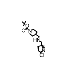 CC(C)(C)OC(=O)N1CCC(CNCc2ccc(Cl)nn2)CC1